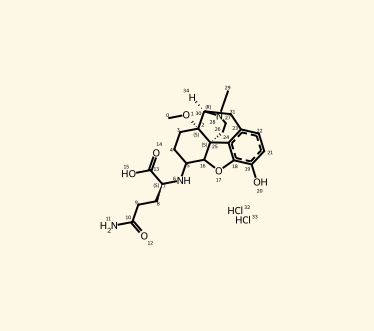 CO[C@@]12CCC(N[C@@H](CCC(N)=O)C(=O)O)C3Oc4c(O)ccc5c4[C@@]31CCN(C)[C@@H]2C5.Cl.Cl